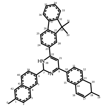 Cc1ccc2cc(C3N=C(c4ccc5c(c4)C=CC(C)C5)C=C(c4ccc5c(c4)C(C)(C)c4ccccc4-5)N3)ccc2c1